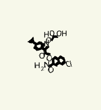 NC(=O)c1cc2cc(Cl)ccc2cc1OCC(=O)c1cn(OC[C@H](O)CO)c2cc(C3CC3)ccc12